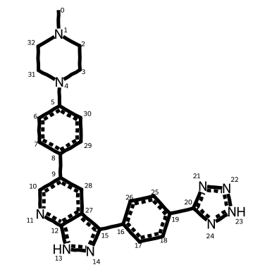 CN1CCN(c2ccc(-c3cnc4[nH]nc(-c5ccc(-c6nn[nH]n6)cc5)c4c3)cc2)CC1